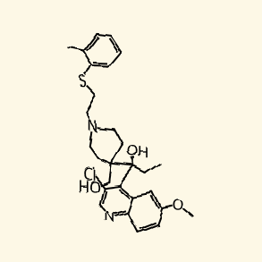 CC[C@](O)(c1c(Cl)cnc2ccc(OC)cc12)C1(CO)CCN(CCSc2ccccc2C)CC1